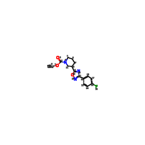 CC(C)(C)OC(=O)N1CCCC(c2nc(-c3ccc(F)cc3)no2)C1